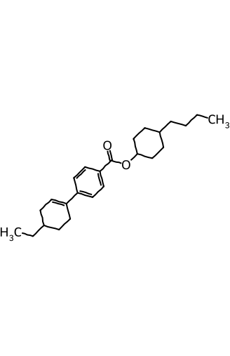 CCCCC1CCC(OC(=O)c2ccc(C3=CCC(CC)CC3)cc2)CC1